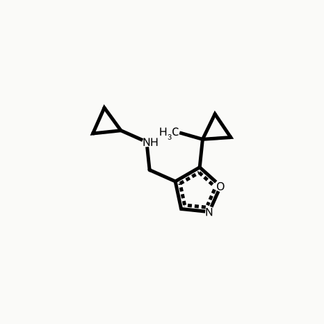 CC1(c2oncc2CNC2CC2)CC1